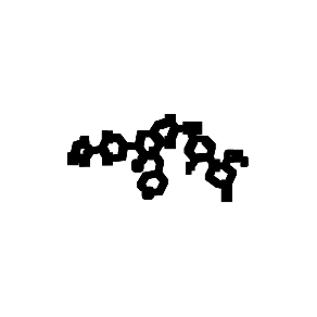 CC1CNCCN1c1ccc(Nc2ncc3cc(-c4cnc(-c5nncs5)nc4)c(=O)n(CC4CCOCC4)c3n2)cc1F